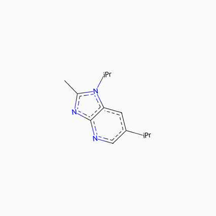 Cc1nc2ncc(C(C)C)cc2n1C(C)C